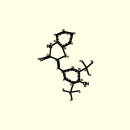 CC(C)(C)c1cc(C=C2Sc3ccccc3NC2=O)cc(C(C)(C)C)c1O